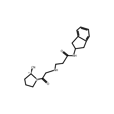 N#C[C@@H]1CCCN1C(=O)CNCCC(=O)NC1Cc2ccccc2C1